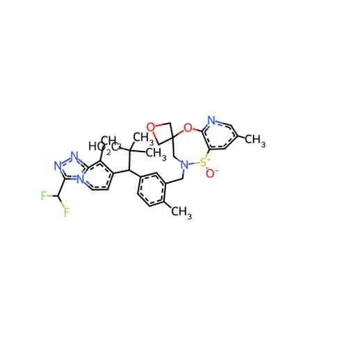 Cc1cnc2c(c1)[S+]([O-])N(Cc1cc(C(c3ccn4c(C(F)F)nnc4c3C)C(C)(C)C(=O)O)ccc1C)CC1(COC1)O2